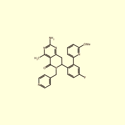 COc1cccc(-c2cc(F)ccc2C2Cc3nc(N)nc(C)c3C(=O)N2Cc2ccncc2)n1